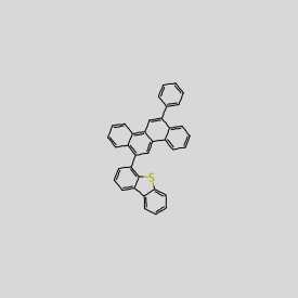 c1ccc(-c2cc3c4ccccc4c(-c4cccc5c4sc4ccccc45)cc3c3ccccc23)cc1